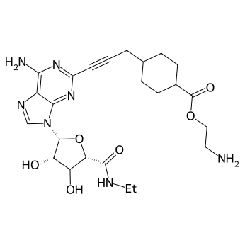 CCNC(=O)[C@H]1O[C@@H](n2cnc3c(N)nc(C#CCC4CCC(C(=O)OCCN)CC4)nc32)[C@@H](O)C1O